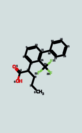 CCCC(C(=O)O)c1cccc(-c2ccccc2)c1C(F)(F)F